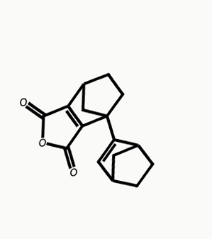 O=C1OC(=O)C2=C1C1CCC2(C2=CC3CCC2C3)C1